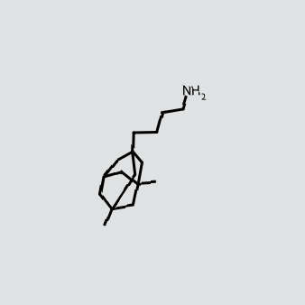 CC12CC3CC(C)(C1)CC(CCCCN)(C3)C2